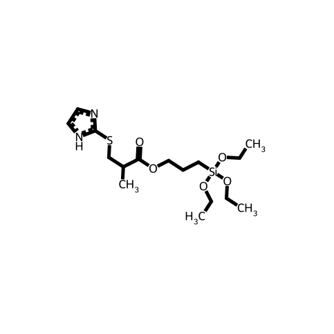 CCO[Si](CCCOC(=O)C(C)CSc1ncc[nH]1)(OCC)OCC